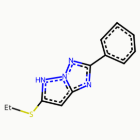 CCSc1cc2nc(-c3ccccc3)nn2[nH]1